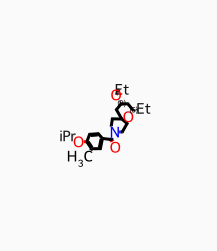 CCO[C@@H]1C[C@H](CC)OC2(CCN(C(=O)c3ccc(OC(C)C)c(C)c3)CC2)C1